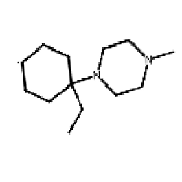 CCC1(N2CCN(C)CC2)CC[CH]CC1